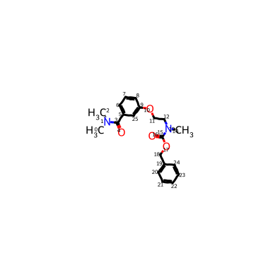 CN(C)C(=O)c1cccc(OCCN(C)C(=O)OCc2ccccc2)c1